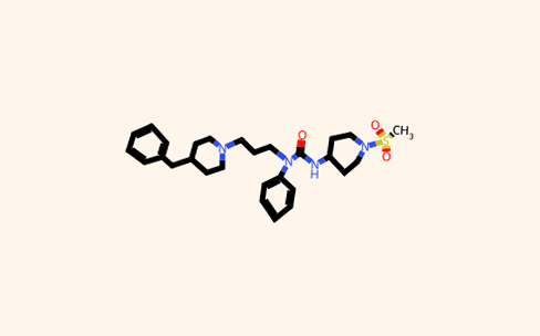 CS(=O)(=O)N1CCC(NC(=O)N(CCCN2CCC(Cc3ccccc3)CC2)c2ccccc2)CC1